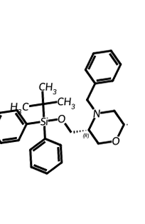 CC(C)(C)[Si](OC[C@H]1CO[CH]CN1Cc1ccccc1)(c1ccccc1)c1ccccc1